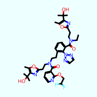 CCN(CCc1nc(C(C)(C)O)c(C)o1)C(=O)c1cccc(CCN(CCc2nc(C(C)(C)O)c(C)o2)C(=O)c2cccnc2OCC(F)F)c1-n1nccn1